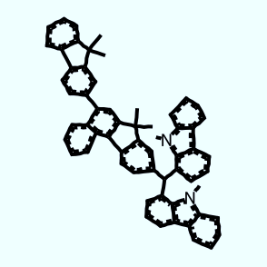 Cn1c2ccccc2c2cccc(C(c3ccc4c(c3)C(C)(C)c3cc(-c5ccc6c(c5)C(C)(C)c5ccccc5-6)c5ccccc5c3-4)c3cccc4c5ccccc5n(C)c34)c21